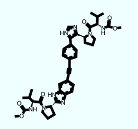 COC(=O)N[C@H](C(=O)N1CCC[C@H]1c1nc2ccc(C#Cc3ccc(-c4[nH]cnc4[C@@H]4CCCN4C(=O)[C@@H](NC(=O)OC)C(C)C)cc3)cc2[nH]1)C(C)C